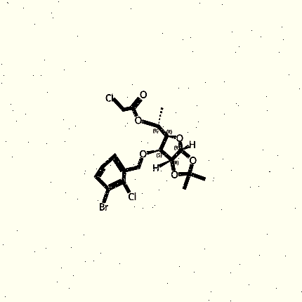 C[C@@H](OC(=O)CCl)[C@H]1O[C@@H]2OC(C)(C)O[C@@H]2[C@H]1OCc1cccc(Br)c1Cl